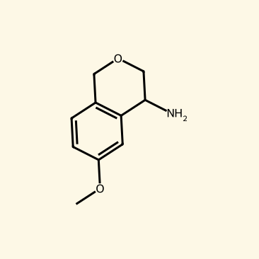 COc1ccc2c(c1)C(N)COC2